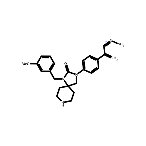 C=C(/C=N\N)c1ccc(N2CC3(CCNCC3)N(Cc3cccc(OC)c3)C2=O)cc1